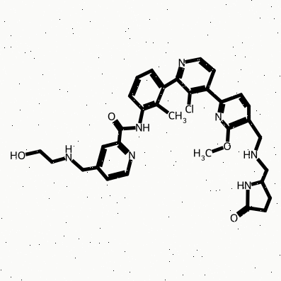 COc1nc(-c2ccnc(-c3cccc(NC(=O)c4cc(CNCCO)ccn4)c3C)c2Cl)ccc1CNCC1CCC(=O)N1